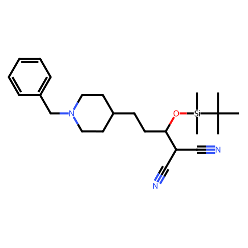 CC(C)(C)[Si](C)(C)OC(CCC1CCN(Cc2ccccc2)CC1)C(C#N)C#N